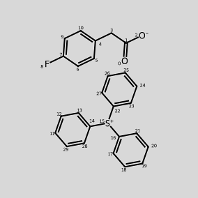 O=C([O-])Cc1ccc(F)cc1.c1ccc([S+](c2ccccc2)c2ccccc2)cc1